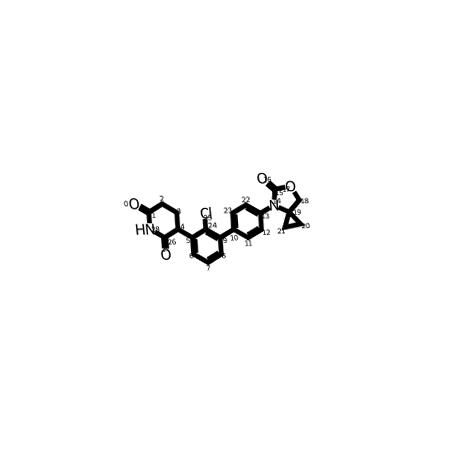 O=C1CCC(c2cccc(-c3ccc(N4C(=O)OCC45CC5)cc3)c2Cl)C(=O)N1